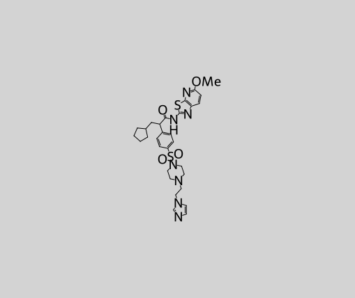 COc1ccc2nc(NC(=O)C(CC3CCCC3)c3ccc(S(=O)(=O)N4CCN(CCn5ccnc5)CC4)cc3)sc2n1